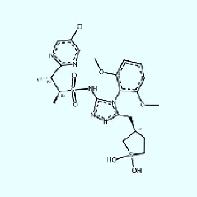 COc1cccc(OC)c1-n1c(C[C@H]2CCS(O)(O)C2)nnc1NS(=O)(=O)[C@@H](C)[C@H](C)c1ncc(Cl)cn1